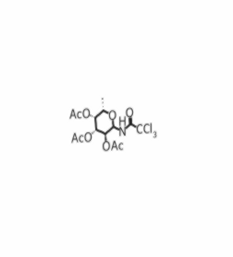 CC(=O)O[C@@H]1[C@H](OC(C)=O)[C@H](C)OC(NC(=O)C(Cl)(Cl)Cl)[C@H]1OC(C)=O